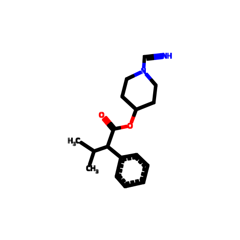 CC(C)C(C(=O)OC1CCN(C=N)CC1)c1ccccc1